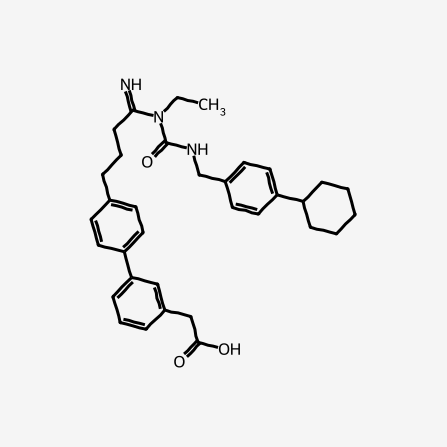 CCN(C(=N)CCCc1ccc(-c2cccc(CC(=O)O)c2)cc1)C(=O)NCc1ccc(C2CCCCC2)cc1